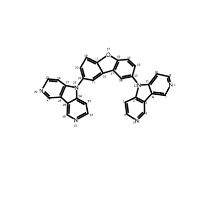 c1cc2c(cn1)c1cnccc1n2-c1ccc2oc3ccc(-n4c5ccncc5c5cnccc54)cc3c2c1